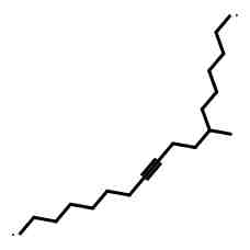 [CH2]CCCCCCC#CCCC(C)CCCCC[CH2]